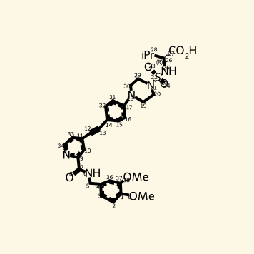 COc1ccc(CNC(=O)c2cc(C#Cc3ccc(N4CCN(S(=O)(=O)N[C@@H](C(=O)O)C(C)C)CC4)cc3)ccn2)cc1OC